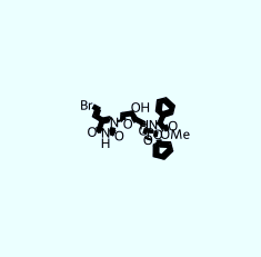 COC(=O)[C@@H](NP(=O)(OCC1O[C@@H](n2cc(/C=C/Br)c(=O)[nH]c2=O)C[C@H]1O)Oc1ccccc1)c1ccccc1